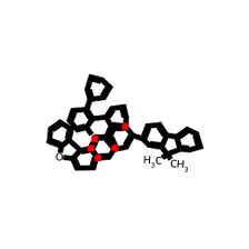 CC1(C)c2ccccc2-c2ccc(-c3ccc(N(c4cccc(-c5ccccc5)c4-c4ccccc4-c4ccccc4)c4cccc5oc6ccccc6c45)cc3)cc21